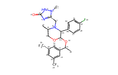 CCn1[nH]c(=O)nc1CN1C(C)COC(OC(C)c2cc(C(F)(F)F)cc(C(F)(F)F)c2)C1c1ccc(F)cc1